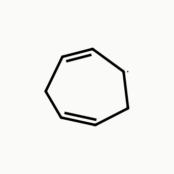 [CH]1C=CCC=CC1